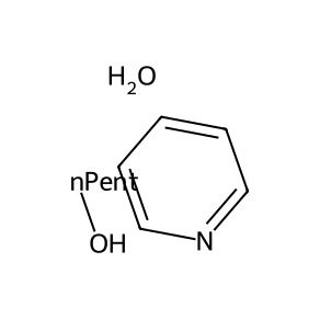 CCCCCO.O.c1ccncc1